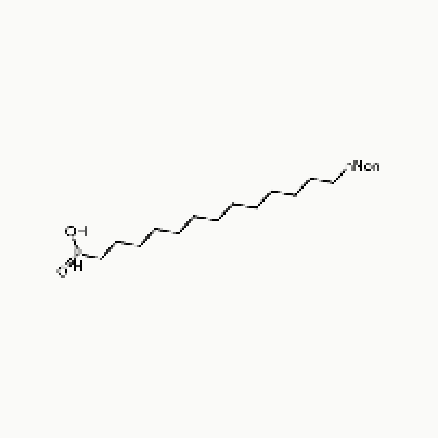 CCCCCCCCCCCCCCCCCCCCCC[PH](=O)O